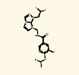 O=C(NCN1C=CN2C=NN(CC(F)F)C21)c1cnc(OC(F)F)c(Cl)c1